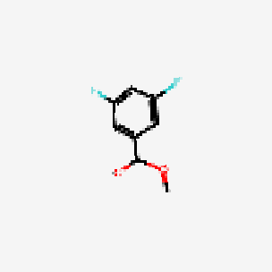 COC([O])c1cc(F)cc(F)c1